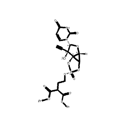 C#C[C@]1(O)[C@H](n2ccc(=O)[nH]c2=O)O[C@@H]2C3O[P@](=O)(OCCC(C(=O)OC(C)C)C(=O)OC(C)C)O[C@]321